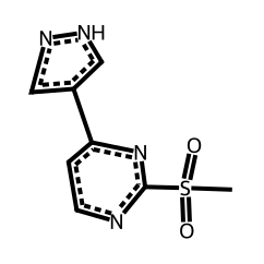 CS(=O)(=O)c1nccc(-c2cn[nH]c2)n1